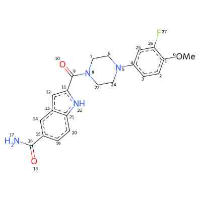 COc1ccc(N2CCN(C(=O)c3cc4cc(C(N)=O)ccc4[nH]3)CC2)cc1F